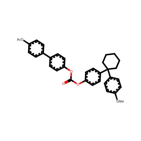 COc1ccc(C2(c3ccc(OC(=O)Oc4ccc(-c5ccc(OC(C)=O)cc5)cc4)cc3)CCCCC2)cc1